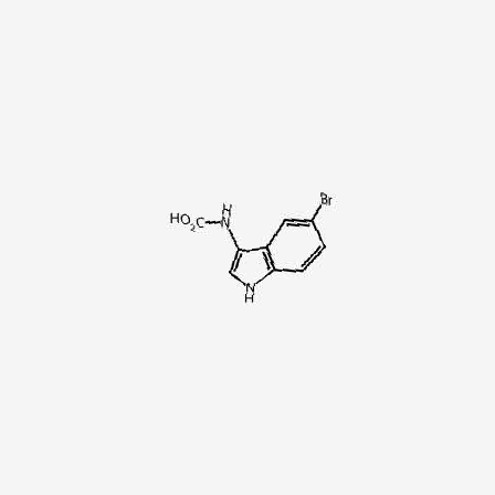 O=C(O)Nc1c[nH]c2ccc(Br)cc12